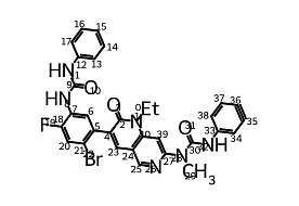 CCn1c(=O)c(-c2cc(NC(=O)Nc3ccccc3)c(F)cc2Br)cc2cnc(N(C)C(=O)Nc3cc#ccc3)cc21